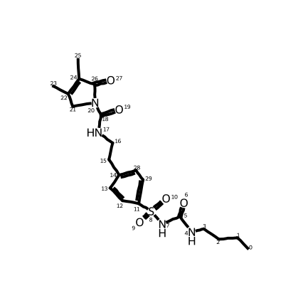 CCCCNC(=O)NS(=O)(=O)c1ccc(CCNC(=O)N2CC(C)=C(C)C2=O)cc1